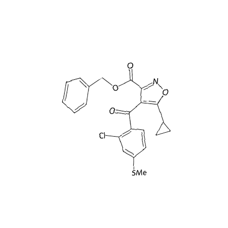 CSc1ccc(C(=O)c2c(C(=O)OCc3ccccc3)noc2C2CC2)c(Cl)c1